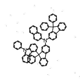 c1ccc(-n2c3ccccc3c3c(C4(c5ccccc5)c5ccccc5-c5ccc(N(c6ccc7c(c6)C(c6ccccc6)(c6ccccc6)c6ccccc6-7)c6ccc7ccccc7c6)cc54)cccc32)cc1